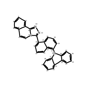 c1ccc2c(c1)ccn1c(-c3cccc4c(-n5c6ccccc6c6ccccc65)cccc34)nnc21